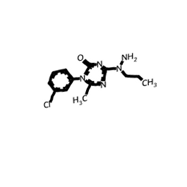 CCCN(N)c1nc(C)n(-c2cccc(Cl)c2)c(=O)n1